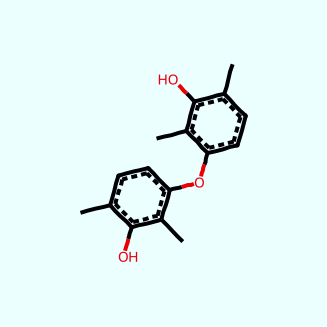 Cc1ccc(Oc2ccc(C)c(O)c2C)c(C)c1O